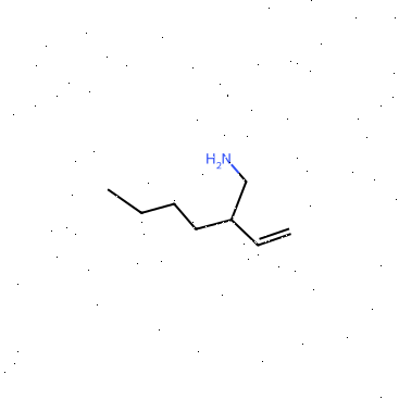 C=CC(CN)CCCC